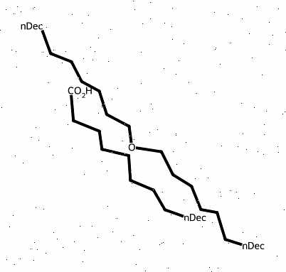 CCCCCCCCCCCCCCCCCC(=O)O.CCCCCCCCCCCCCCCCOCCCCCCCCCCCCCCCC